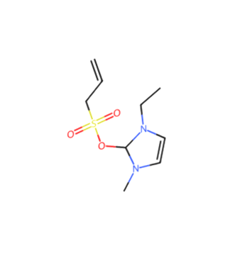 C=CCS(=O)(=O)OC1N(C)C=CN1CC